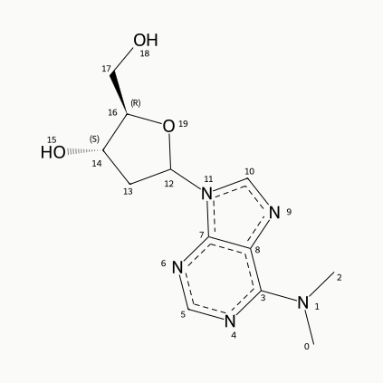 CN(C)c1ncnc2c1ncn2C1C[C@H](O)[C@@H](CO)O1